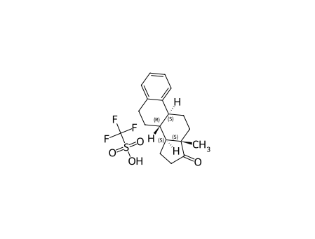 C[C@]12CC[C@@H]3c4ccccc4CC[C@H]3[C@@H]1CCC2=O.O=S(=O)(O)C(F)(F)F